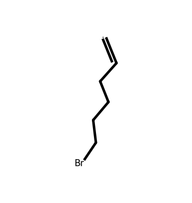 [CH]=CCCCCBr